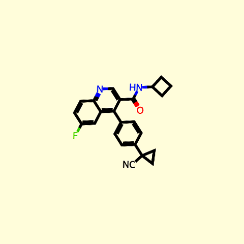 N#CC1(c2ccc(-c3c(C(=O)NC4CCC4)cnc4ccc(F)cc34)cc2)CC1